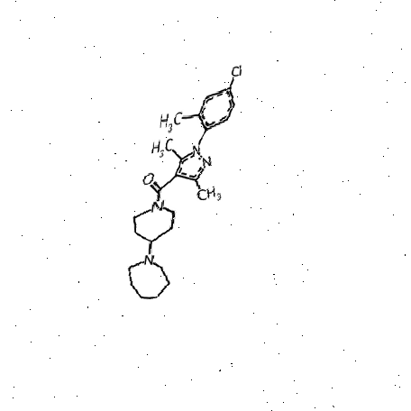 Cc1cc(Cl)ccc1-n1nc(C)c(C(=O)N2CCC(N3CCCCCC3)CC2)c1C